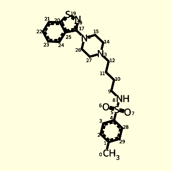 Cc1ccc(S(=O)(=O)NCCCCN2CCN(c3nsc4ccccc34)CC2)cc1